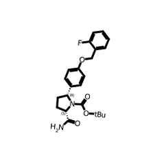 CC(C)(C)OC(=O)N1[C@@H](c2ccc(OCc3ccccc3F)cc2)CC[C@H]1C(N)=O